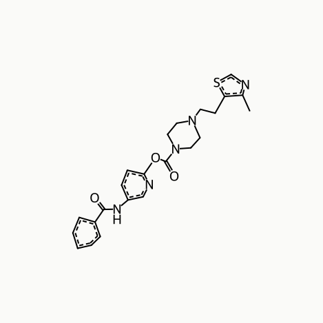 Cc1ncsc1CCN1CCN(C(=O)Oc2ccc(NC(=O)c3ccccc3)cn2)CC1